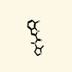 CC1OCCC1N(C)C(=O)c1cc2cccc(Cl)c2[nH]1